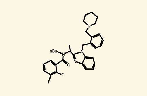 CCCCN(C(=O)c1cccc(F)c1F)C(C)c1nc2ccccc2n1Cc1ccccc1CN1CCCCC1